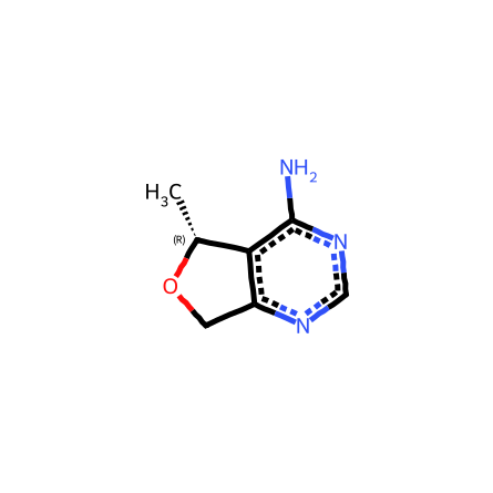 C[C@H]1OCc2ncnc(N)c21